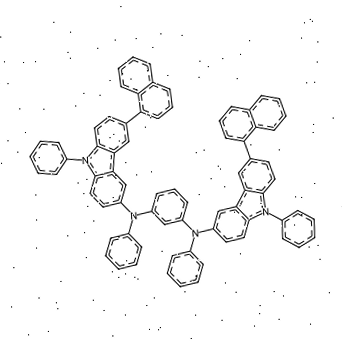 c1ccc(N(c2cccc(N(c3ccccc3)c3ccc4c(c3)c3cc(-c5cccc6ccccc56)ccc3n4-c3ccccc3)c2)c2ccc3c(c2)c2cc(-c4cccc5ccccc45)ccc2n3-c2ccccc2)cc1